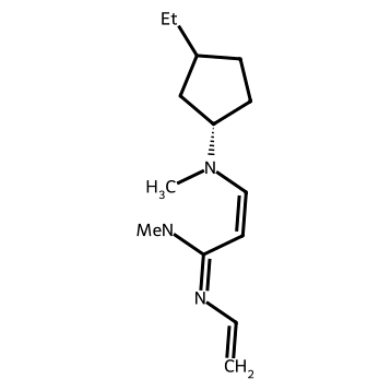 C=C/N=C(\C=C/N(C)[C@H]1CCC(CC)C1)NC